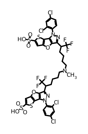 CN(CCCCC(c1nn(-c2ccc(Cl)cc2Cl)c2c1oc1cc(S(=O)(=O)O)sc12)C(F)(F)F)CCCCC(c1nn(-c2ccc(Cl)cc2Cl)c2c1oc1cc(S(=O)(=O)O)sc12)C(F)(F)F